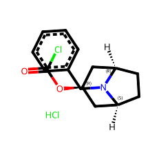 Cl.O=C(Cl)O[C@H]1C[C@H]2CC[C@@H](C1)N2Cc1ccccc1